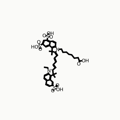 CC[N+]1=C(/C=C/C=C/C=C2/N(CCCCCCCC(=O)O)c3ccc4c(S(=O)(=O)O)cc(S(=O)(=O)O)cc4c3C2(C)C)C(C)(C)c2c1ccc1ccc(S(=O)(=O)O)cc21